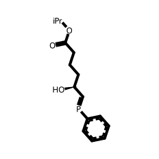 CC(C)OC(=O)CCC[C@H](O)/C=P/c1ccccc1